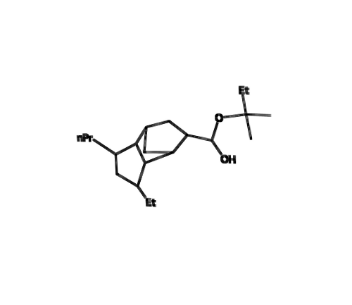 CCCC1CC(CC)C2C3CC(CC3C(O)OC(C)(C)CC)C12